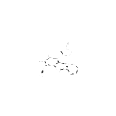 CCc1c(C)c(C#N)c2nc3ccccn3c2c1C1=CC(N)CC1